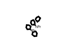 CC(C)c1ccccc1.CCCc1ccccc1.c1ccccc1.c1ccccc1